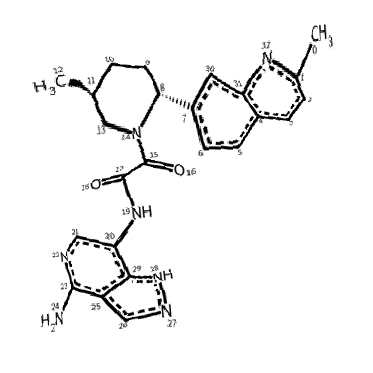 Cc1ccc2ccc([C@H]3CC[C@H](C)CN3C(=O)C(=O)Nc3cnc(N)c4cn[nH]c34)cc2n1